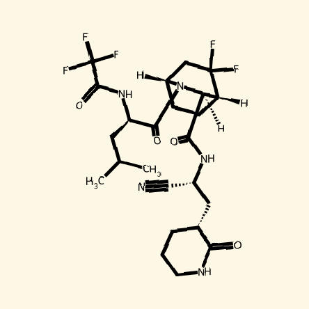 CC(C)C[C@@H](NC(=O)C(F)(F)F)C(=O)N1[C@@H]2CC[C@H]([C@H]1C(=O)N[C@@H](C#N)C[C@H]1CCCNC1=O)C(F)(F)C2